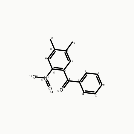 Cc1cc(C(=O)c2ccccc2)c([N+](=O)[O-])cc1C